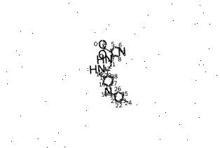 COC(=O)c1ccncc1NC[C@@H]1NCc2cc(N(C)c3ccc(C)cc3)ccc21